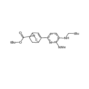 CNc1nc(C2=CC3CCC2CN3C(=O)OC(C)(C)C)ccc1NCC(C)(C)C